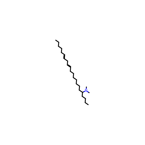 CCCCCC=CCC=CCCCCCCCC(CCCC)N(C)C